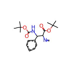 C=NC(C(=O)OC(C)(C)C)C(NC(=O)OC(C)(C)C)c1ccccc1